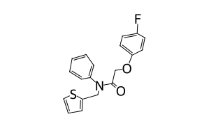 O=C(COc1ccc(F)cc1)N(Cc1cccs1)c1ccccc1